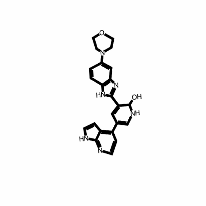 OC1NC=C(c2ccnc3[nH]ccc23)C=C1c1nc2cc(N3CCOCC3)ccc2[nH]1